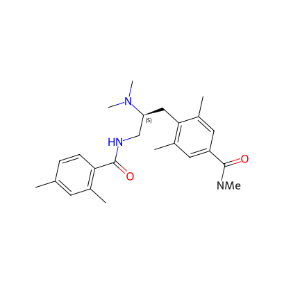 CNC(=O)c1cc(C)c(C[C@@H](CNC(=O)c2ccc(C)cc2C)N(C)C)c(C)c1